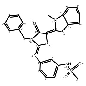 CN1/C(=C2/S/C(=N\c3cccc(NS(C)(=O)=O)c3)N(Cc3ccccc3)C2=O)Sc2ccccc21